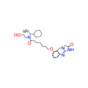 CCCC(C1CCCCC1)N(CCO)C(=O)CCCCCCOc1cccc2c1CN1CC(=O)NC1=N2